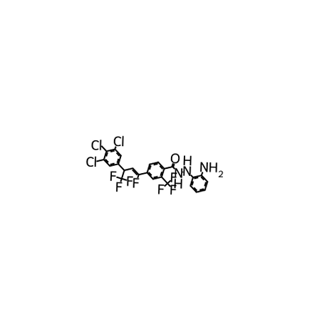 Nc1ccccc1NNC(=O)c1ccc(C(F)=CC(c2cc(Cl)c(Cl)c(Cl)c2)C(F)(F)F)cc1C(F)(F)F